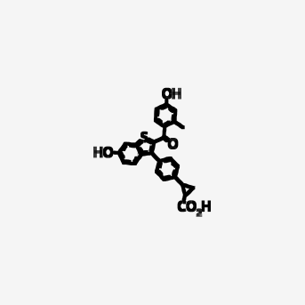 Cc1cc(O)ccc1C(=O)c1sc2cc(O)ccc2c1-c1ccc(C2CC2C(=O)O)cc1